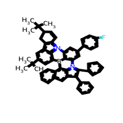 CC(C)(C)c1cc2c3c(c1)c1c(n3-c3cc(-c4ccc(F)cc4)cc4c3B2c2c3ccccc3cc3c(-c5ccccc5)c(-c5ccccc5)n-4c23)C=CC(C(C)(C)C)C1